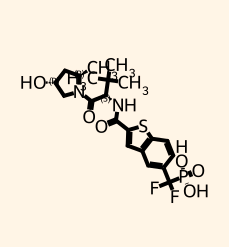 C[C@@H]1C[C@@H](O)CN1C(=O)[C@@H](NC(=O)c1cc2cc(C(F)(F)P(=O)(O)O)ccc2s1)C(C)(C)C